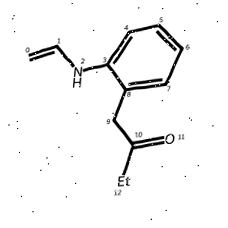 C=CNc1ccccc1CC(=O)CC